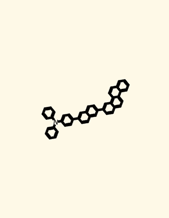 c1ccc(N(c2ccccc2)c2ccc(-c3ccc4cc(-c5ccc6ccc7c8ccccc8ccc7c6c5)ccc4c3)cc2)cc1